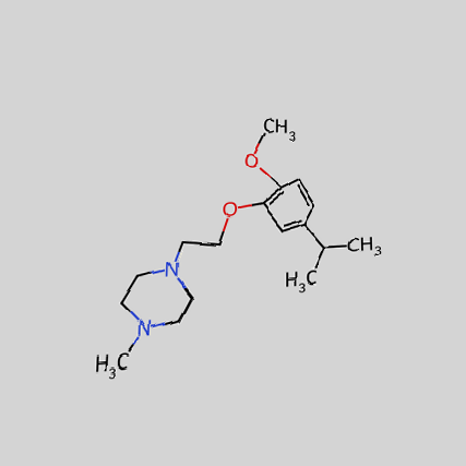 COc1ccc(C(C)C)cc1OCCN1CCN(C)CC1